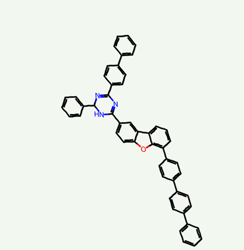 c1ccc(-c2ccc(C3=NC(c4ccccc4)NC(c4ccc5oc6c(-c7ccc(-c8ccc(-c9ccccc9)cc8)cc7)cccc6c5c4)=N3)cc2)cc1